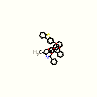 C\C1=C(c2ccc3c(c2)c2ccccc2c2cccc(-c4ccc5c(c4)sc4ccccc45)c23)/N=C(c2ccccc2)\C=C(\c2ccccc2)CC1